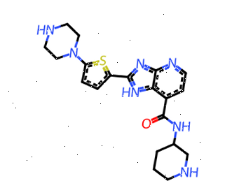 O=C(NC1CCCNC1)c1ccnc2nc(-c3ccc(N4CCNCC4)s3)[nH]c12